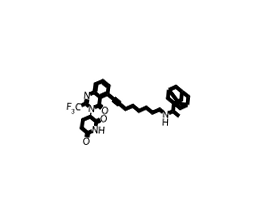 CC(NCCCCCCC#Cc1cccc2nc(C(F)(F)F)n([C@H]3CCC(=O)NC3=O)c(=O)c12)C12CC3CC(CC(C3)C1)C2